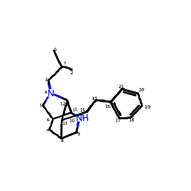 CC(C)CN1CC2CC3CNC2C1C3CCc1ccccc1